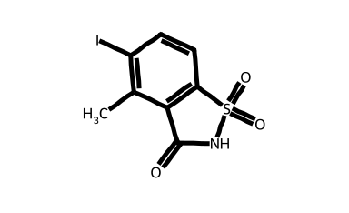 Cc1c(I)ccc2c1C(=O)NS2(=O)=O